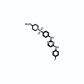 CNC1CCN(S(=O)(=O)c2ccc(Nc3nccc(Nc4ccc(F)cc4)n3)cc2)CC1